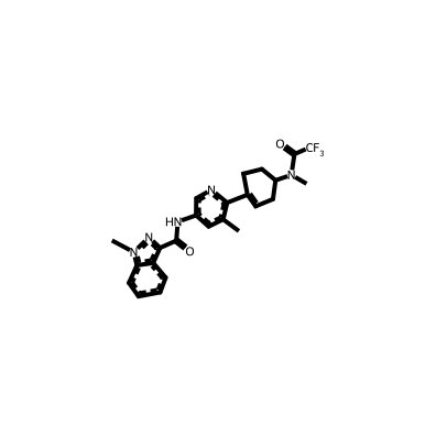 Cc1cc(NC(=O)c2nn(C)c3ccccc23)cnc1C1=CCC(N(C)C(=O)C(F)(F)F)CC1